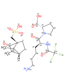 CC1(C)[C@@H]2CC[C@@]1(CS(=O)(=O)O)C(=O)C2.NCCCC[C@H](NC(=O)C(F)(F)F)C(=O)N1CCC[C@H]1C(=O)O